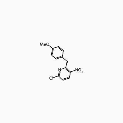 COc1ccc(Sc2nc(Cl)ccc2[N+](=O)[O-])cc1